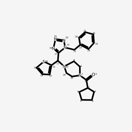 O=C(C1CCCC1)N1CCN(C(c2cccs2)c2nnnn2Cc2ccccc2)CC1